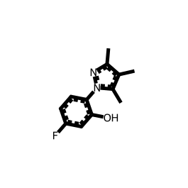 Cc1nn(-c2ccc(F)cc2O)c(C)c1C